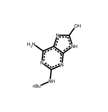 CCCCNc1nc(N)c2nc(O)[nH]c2n1